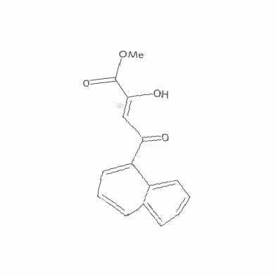 COC(=O)/C(O)=C/C(=O)c1cccc2ccccc12